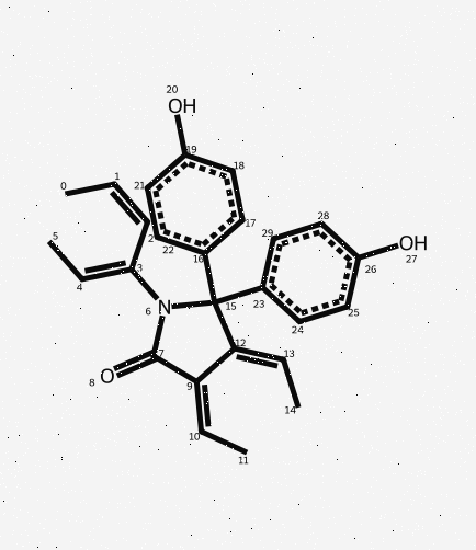 C/C=C\C(=C/C)N1C(=O)C(=C/C)/C(=C\C)C1(c1ccc(O)cc1)c1ccc(O)cc1